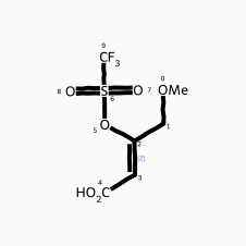 COC/C(=C/C(=O)O)OS(=O)(=O)C(F)(F)F